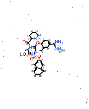 Cl.N=C(N)c1cccc(C[C@H](NS(=O)(=O)c2ccc3ccccc3c2)C(=O)N(CC(=O)O)C(=O)C2CCCCN2)c1